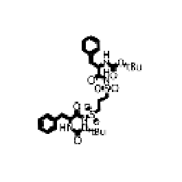 CC(C)(C)OC(=O)NC(Cc1ccccc1)C(=O)NS(=O)(=O)CCCS(=O)(=O)NC(=O)C(Cc1ccccc1)NC(=O)OC(C)(C)C